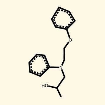 CC(O)CN(CCOc1ccccc1)c1ccccc1